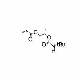 C=CC(=O)OCC(C)OC(=O)NC(C)(C)C